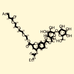 CCSC(=S)SC(CC(C)C(=O)OCCOCCOCCOC(=O)CCC(C)=O)c1ccc(C2OC[C@H]3O[C@H](O[C@H]4O[C@H](CO)[C@@H](O)[C@H](O)[C@H]4O)[C@H](O)[C@@H](O)[C@@H]3O2)cc1